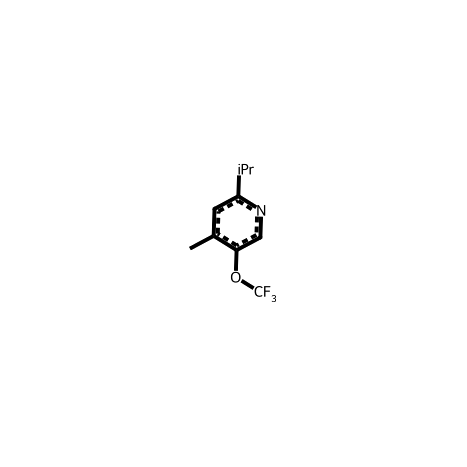 Cc1cc(C(C)C)ncc1OC(F)(F)F